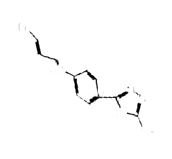 CCCC=CCOc1ccc(-c2nnc(CCCC)s2)cc1